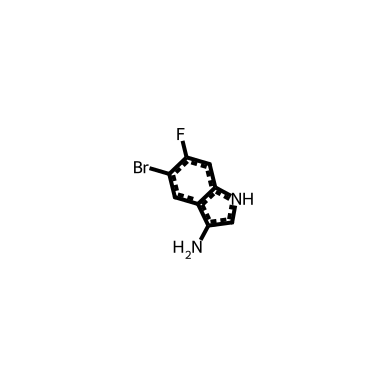 Nc1c[nH]c2cc(F)c(Br)cc12